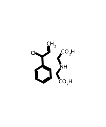 C=CC(Cl)c1ccccc1.O=C(O)CNCC(=O)O